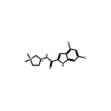 C[Si]1(C)CC[C@H](NC(=O)c2cc3c(Cl)cc(Cl)cc3[nH]2)C1